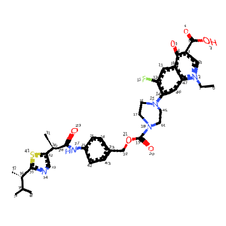 CCn1cc(C(=O)O)c(=O)c2cc(F)c(N3CCN(C(=O)OCc4ccc(NC(=O)[C@H](C)c5cnc([C@@H](C)C(C)C)s5)cc4)CC3)cc21